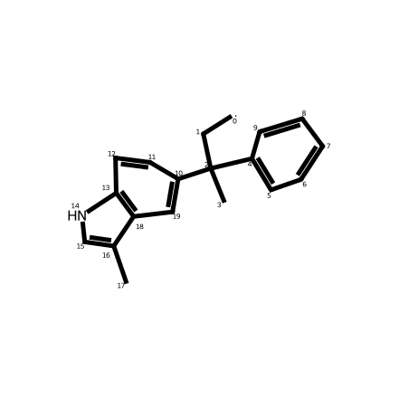 [CH2]CC(C)(c1ccccc1)c1ccc2[nH]cc(C)c2c1